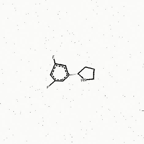 Fc1cc(F)cc([C@@H]2CCCN2)c1